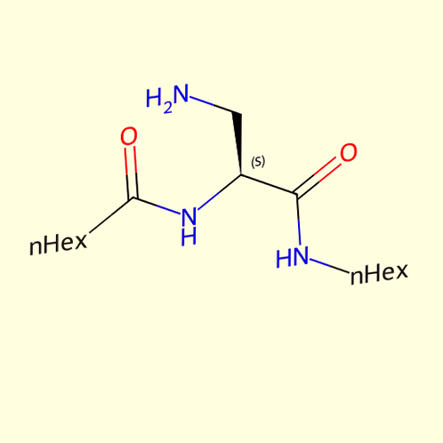 CCCCCCNC(=O)[C@H](CN)NC(=O)CCCCCC